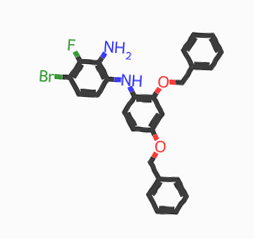 Nc1c(Nc2ccc(OCc3ccccc3)cc2OCc2ccccc2)ccc(Br)c1F